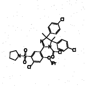 CC(C)Oc1cc(Cl)c(S(=O)(=O)N2CCCC2)cc1C1=NC(C)(c2ccc(Cl)cc2)C(C)(c2ccc(Cl)cc2)N1C(=O)Cl